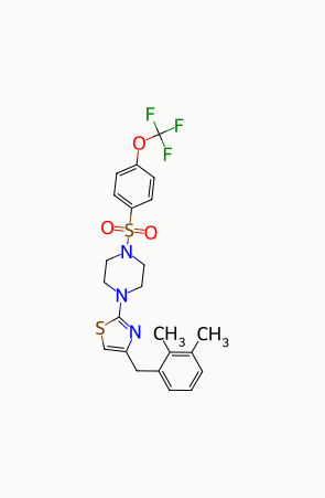 Cc1cccc(Cc2csc(N3CCN(S(=O)(=O)c4ccc(OC(F)(F)F)cc4)CC3)n2)c1C